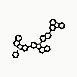 c1ccc(-n2c3ccc(-c4ccc5c(c4)c4ccc6ccccc6c4n5-c4ccc5cc(-c6cc7c8c(cccc8c6)-c6ccccc6-7)ccc5c4)cc3c3c4ccccc4ccc32)cc1